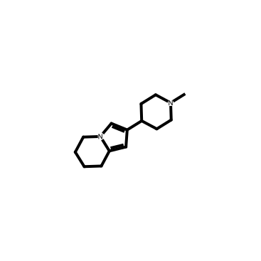 CN1CCC(c2cc3n(c2)CCCC3)CC1